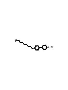 N#Cc1ccc(-c2ccc(CCCCCC/C=C/F)cc2)cc1